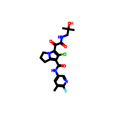 Cc1cc(NC(=O)c2c(Cl)c(C(=O)C(=O)NCC(C)(C)O)n3c2CCC3)cnc1F